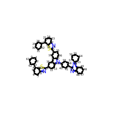 c1ccc(-c2cccc3nc(-c4ccc5c(c4)c4cc(-c6nc7cccc(-c8ccccc8)c7s6)ccc4n5-c4ccc(-c5nc6ccccc6n5-c5ccccc5)cc4)sc23)cc1